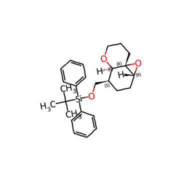 CC(C)(C)[Si](OC[C@@H]1CC[C@H]2O[C@]23CCCO[C@H]13)(c1ccccc1)c1ccccc1